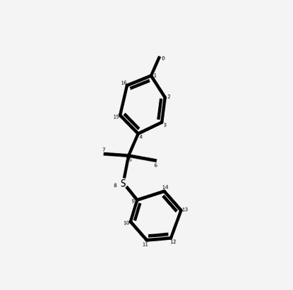 Cc1ccc(C(C)(C)Sc2ccccc2)cc1